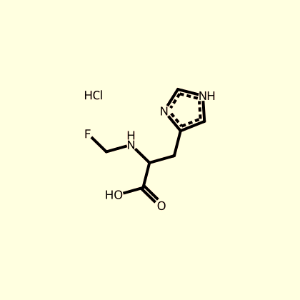 Cl.O=C(O)C(Cc1c[nH]cn1)NCF